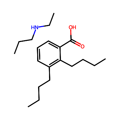 CCCCc1cccc(C(=O)O)c1CCCC.CCCNCC